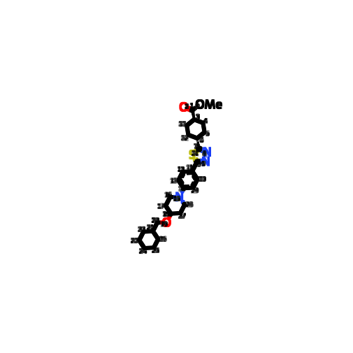 COC(=O)[C@H]1CC[C@H](c2nnc(-c3ccc(N4CCC(OCC5CCCCC5)CC4)cc3)s2)CC1